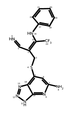 N=C/C(CSc1cc(N)nc2[nH]nnc12)=C(\Nc1ccccc1)C(F)(F)F